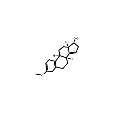 COC1=CCC2=C(CC[C@H]3C4=CC[C@H](O)[C@H]4CC[C@H]23)C1